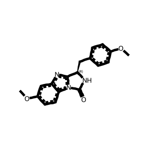 COc1ccc(C[C@H]2NC(=O)n3c2nc2cc(OC)ccc23)cc1